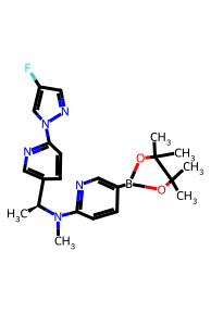 C[C@@H](c1ccc(-n2cc(F)cn2)nc1)N(C)c1ccc(B2OC(C)(C)C(C)(C)O2)cn1